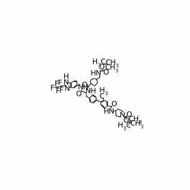 Cc1cc(C(=O)NC2CCN(C(=O)OC(C)(C)C)CC2)ccc1-c1ccc(C[C@H](NC(=O)C2CCC(CNC(=O)OC(C)(C)C)CC2)C(=O)Nc2ccc3[nH]c(C(F)(F)C(F)(F)F)nc3c2)cc1